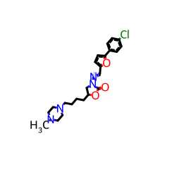 CN1CCN(CCCCC2CN(/N=C/c3ccc(-c4ccc(Cl)cc4)o3)C(=O)O2)CC1